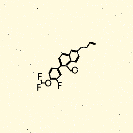 C=CCCc1ccc2c(C=O)c(-c3ccc(OC(F)F)c(F)c3)ccc2c1